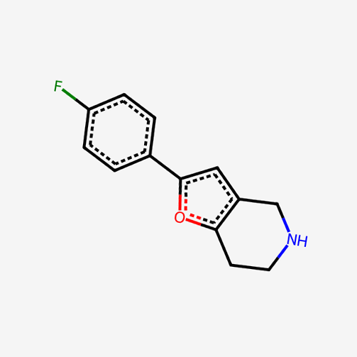 Fc1ccc(-c2cc3c(o2)CCNC3)cc1